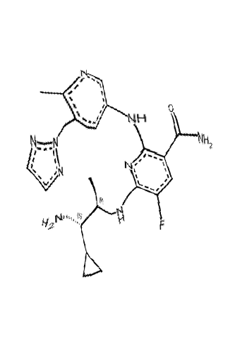 Cc1ncc(Nc2nc(N[C@H](C)[C@@H](N)C3CC3)c(F)cc2C(N)=O)cc1-n1nccn1